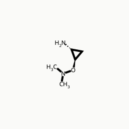 CN(C)O[C@@H]1C[C@H]1N